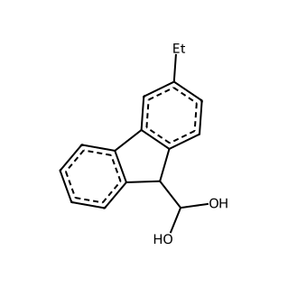 CCc1ccc2c(c1)-c1ccccc1C2C(O)O